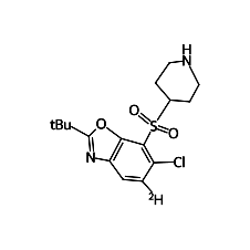 [2H]c1cc2nc(C(C)(C)C)oc2c(S(=O)(=O)C2CCNCC2)c1Cl